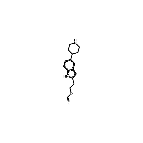 O=COCCc1cc2cc(C3CCNCC3)ccc2[nH]1